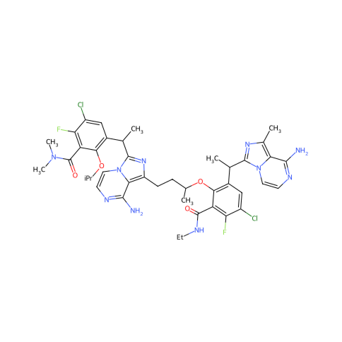 CCNC(=O)c1c(F)c(Cl)cc(C(C)c2nc(C)c3c(N)nccn23)c1OC(C)CCc1nc(C(C)c2cc(Cl)c(F)c(C(=O)N(C)C)c2OC(C)C)n2ccnc(N)c12